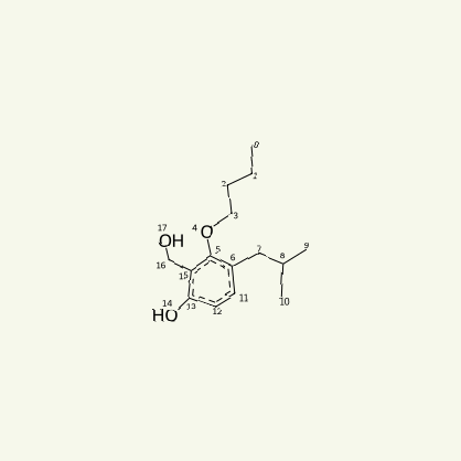 CCCCOc1c(CC(C)C)ccc(O)c1CO